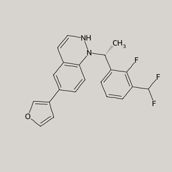 C[C@H](c1cccc(C(F)F)c1F)N1NC=Cc2cc(-c3ccoc3)ccc21